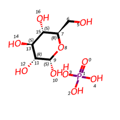 O=P(O)(O)O.OC[C@H]1O[C@H](O)[C@H](O)[C@@H](O)[C@@H]1O